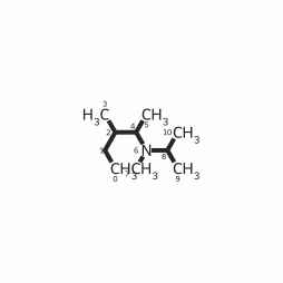 CCC(C)C(C)N(C)C(C)C